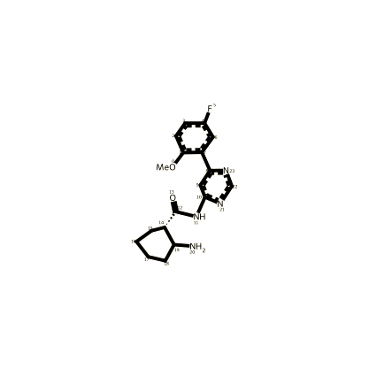 COc1ccc(F)cc1-c1cc(NC(=O)[C@H]2CCCCC2N)ncn1